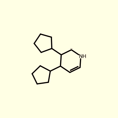 [C]1NC=CC(C2CCCC2)C1C1CCCC1